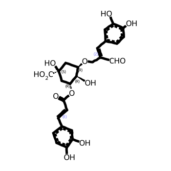 O=C/C(=C\c1ccc(O)c(O)c1)CO[C@@H]1C[C@@](O)(C(=O)O)C[C@@H](OC(=O)/C=C/c2ccc(O)c(O)c2)[C@@H]1O